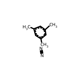 Cc1cc(C)cc(C)c1.N#N